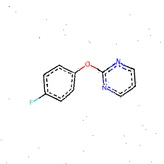 Fc1ccc(Oc2n[c]ccn2)cc1